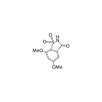 COc1cc(OC)c2c(c1)C(=O)NS2(=O)=O